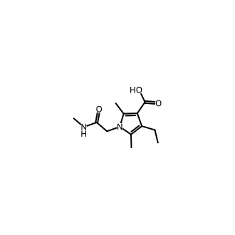 CCc1c(C(=O)O)c(C)n(CC(=O)NC)c1C